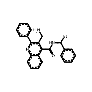 CCC(NC(=O)c1c(CN)c(-c2ccccc2)nc2ccccc12)c1ccccc1